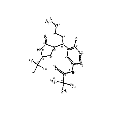 COCC[C@H](c1cc(NC(=O)C(C)(C)C)nnc1Cl)N1CC(C(F)(F)F)NC1=O